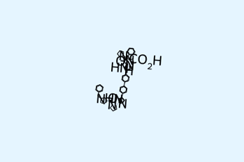 O=C(O)NC(C(=O)c1ncc(-c2ccc(-c3ccc(-c4cnc([C@@H]5CCCN5C(=O)[C@H]5CCN(Cc6ccccc6)C5)[nH]4)cc3)cc2)[nH]1)(c1ccccc1)N1CCCC1